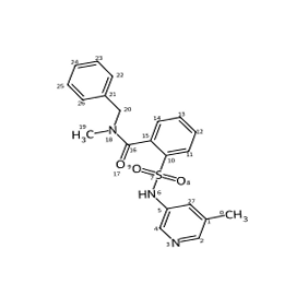 Cc1cncc(NS(=O)(=O)c2ccccc2C(=O)N(C)Cc2ccccc2)c1